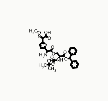 CO/N=C(\C(=O)O)c1ccc(C(N)C(=O)OCC(NC(=O)OC(C)(C)C)C(=O)OC(c2ccccc2)c2ccccc2)s1